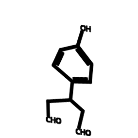 O=CCC(CC=O)c1ccc(O)cc1